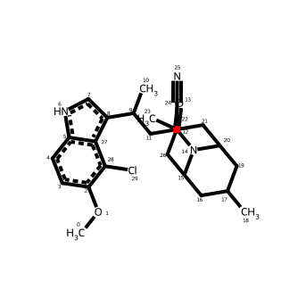 COc1ccc2[nH]cc(C(C)CC(=O)N3C4CC(C)CC3CC(C)(C#N)C4)c2c1Cl